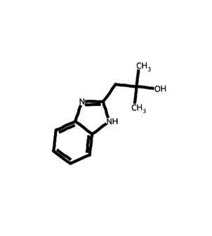 CC(C)(O)Cc1nc2ccccc2[nH]1